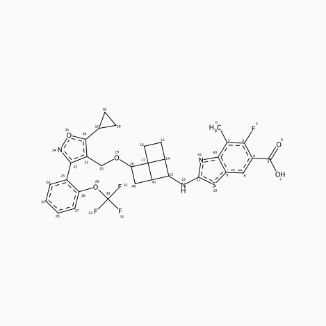 Cc1c(F)c(C(=O)O)cc2sc(NC3C4CCC45C(OCc4c(-c6ccccc6OC(F)(F)F)noc4C4CC4)CC35)nc12